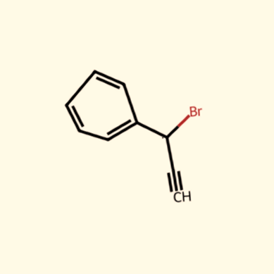 C#C[C](Br)c1ccccc1